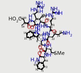 CSCC[C@H](NC(=O)[C@H](Cc1c[nH]c2ccccc12)NC(=O)[C@H](CCCCN)NC(=O)[C@H](CCCNC(=N)N)NC(=O)[C@H](CC(C)C)NC(=O)[C@H](CCCNC(=N)N)NC(=O)[C@@H](C)CC(=O)O)C(=O)N[C@@H](Cc1ccccc1)C(N)=O